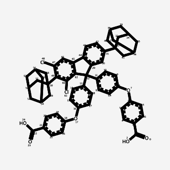 O=C(O)c1ccc(Oc2ccc(C3(c4ccc(Oc5ccc(C(=O)O)cc5)cc4)c4cc(C56CC7CC(CC(C7)C5)C6)ccc4-c4cc(Cl)c(C56CC7CC(CC(C7)C5)C6)c(Cl)c43)cc2)cc1